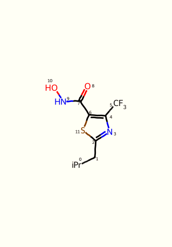 CC(C)Cc1nc(C(F)(F)F)c(C(=O)NO)s1